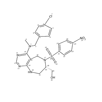 CN(Cc1ccc(Cl)cc1)c1ncnc2c1CN(S(=O)(=O)c1ccc([N+](=O)[O-])cc1)[C@H](CO)CN2